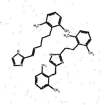 Cc1cccc(C)c1CCCC=Cc1ncc[nH]1.Cc1cccc(C)c1CCc1nc(Cc2c(C)cccc2C)c[nH]1